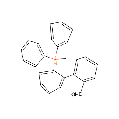 C[PH](c1ccccc1)(c1ccccc1)c1ccccc1-c1ccccc1C=O